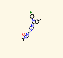 Cc1ccc2c(N3CCN(CCN4CCN(C(C)C)C4=O)CC3)cn(-c3ccc(F)cc3)c2c1